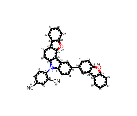 N#Cc1ccc(-n2c3ccc(-c4ccc5oc6ccccc6c5c4)cc3c3c4oc5ccccc5c4ccc32)c(C#N)c1